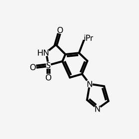 CC(C)c1cc(-n2ccnc2)cc2c1C(=O)NS2(=O)=O